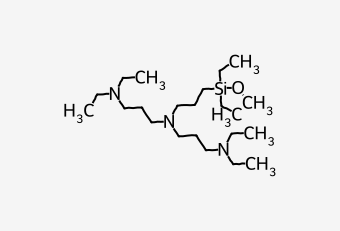 CCN(CC)CCCN(CCCN(CC)CC)CCC[Si](CC)(CC)OC